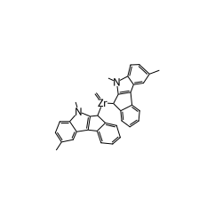 [CH2]=[Zr]([CH]1c2ccccc2-c2c1n(C)c1ccc(C)cc21)[CH]1c2ccccc2-c2c1n(C)c1ccc(C)cc21